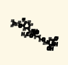 C[C@@H](NS(=O)(=O)/C=C/COCN1CC(=O)NC1O)c1ccc(F)c(OCC2CC2)c1